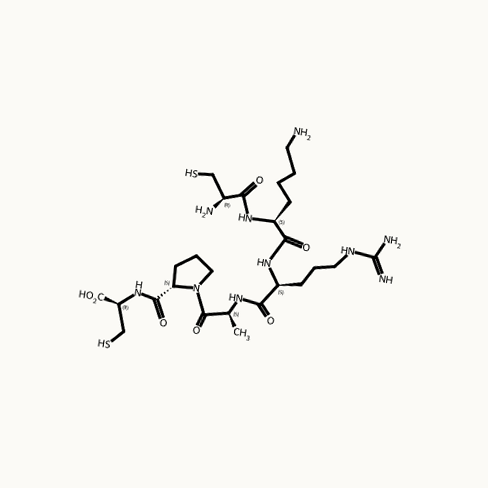 C[C@H](NC(=O)[C@H](CCCNC(=N)N)NC(=O)[C@H](CCCCN)NC(=O)[C@@H](N)CS)C(=O)N1CCC[C@H]1C(=O)N[C@@H](CS)C(=O)O